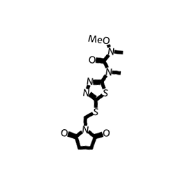 CON(C)C(=O)N(C)c1nnc(SCN2C(=O)CCC2=O)s1